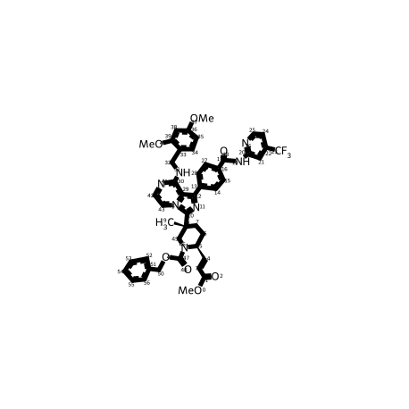 COC(=O)/C=C/[C@@H]1CC[C@@](C)(c2nc(-c3ccc(C(=O)Nc4cc(C(F)(F)F)ccn4)cc3)c3c(NCc4ccc(OC)cc4OC)nccn23)CN1C(=O)OCc1ccccc1